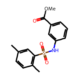 COC(=O)c1cccc(NS(=O)(=O)c2cc(C)ccc2C)c1